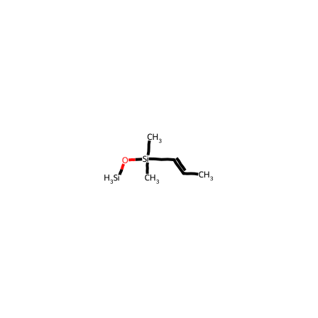 CC=C[Si](C)(C)O[SiH3]